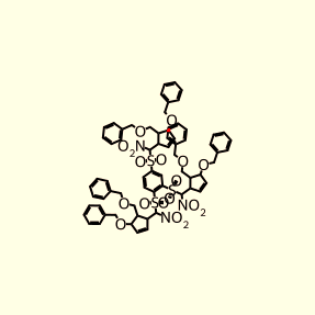 O=[N+]([O-])C(C1C=CC(OCc2ccccc2)C1COCc1ccccc1)S(=O)(=O)c1ccc(S(=O)(=O)C(C2C=CC(OCc3ccccc3)C2COCc2ccccc2)[N+](=O)[O-])c(S(=O)(=O)C(C2C=CC(OCc3ccccc3)C2COCc2ccccc2)[N+](=O)[O-])c1